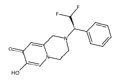 O=c1cc2n(cc1O)CCN([C@H](c1ccccc1)C(F)F)C2